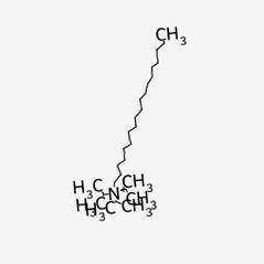 CCCCCCCCCCCCCCCCCCC[N+](C(C)C)(C(C)C)C(C)C